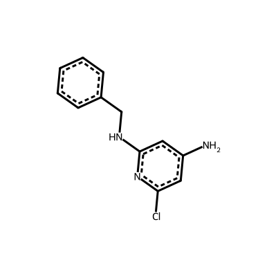 Nc1cc(Cl)nc(NCc2ccccc2)c1